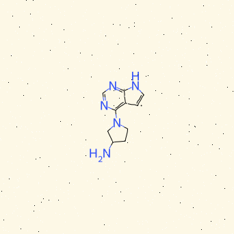 NC1CCN(c2ncnc3[nH]c[c]c23)C1